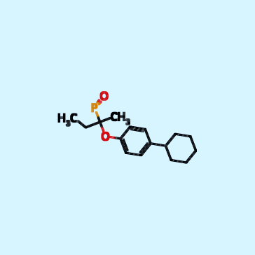 CCC(C)(Oc1ccc(C2CCCCC2)cc1)P=O